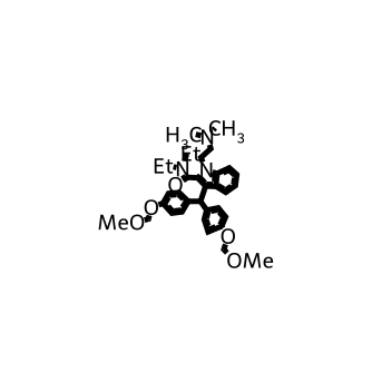 CCN(CC)C(=O)c1c(C(c2ccc(OCOC)cc2)c2ccc(OCOC)cc2)c2ccccc2n1CCN(C)C